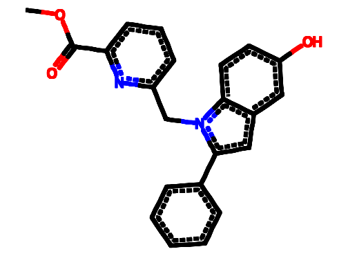 COC(=O)c1cccc(Cn2c(-c3ccccc3)cc3cc(O)ccc32)n1